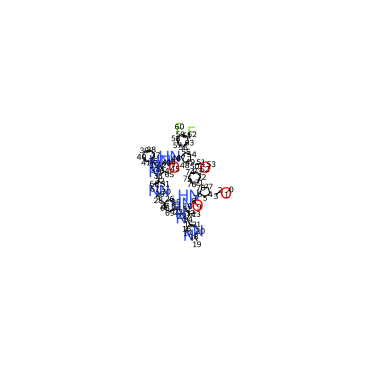 COCC[C@@H]1C[C@@H](NC(=O)Nc2c(C)c(-c3cnc(C)nc3)nn2-c2ccc(Cc3ncc(-c4nn(-c5ccccc5)c(NC(=O)N[C@@H]5C[C@@H](CCOC)C[C@H]5c5ccc(F)c(F)c5)c4C)cn3)cc2)[C@H](c2ccccc2)C1